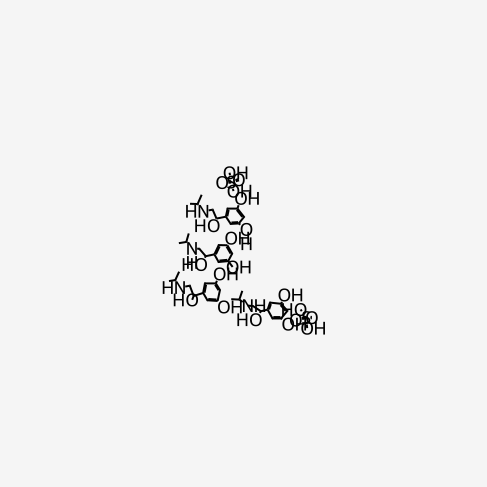 CC(C)NCC(O)c1cc(O)cc(O)c1.CC(C)NCC(O)c1cc(O)cc(O)c1.CC(C)NCC(O)c1cc(O)cc(O)c1.CC(C)NCC(O)c1cc(O)cc(O)c1.O=S(=O)(O)O.O=S(=O)(O)O